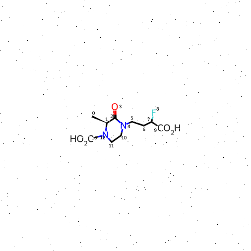 C[C@H]1C(=O)N(CCC(F)C(=O)O)CCN1C(=O)O